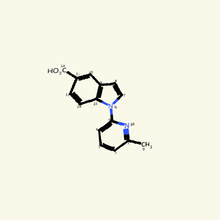 Cc1cccc(-n2ccc3cc(C(=O)O)ccc32)n1